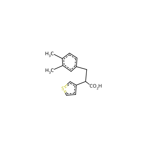 Cc1ccc(CC(C(=O)O)c2ccsc2)cc1C